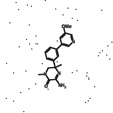 COc1cncc(-c2cccc(C3(C)CN(C)C(=O)C(N)=N3)c2)c1